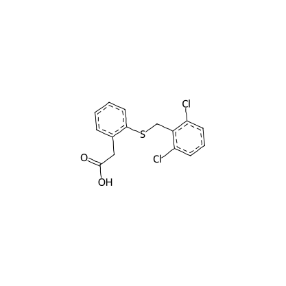 O=C(O)Cc1ccccc1SCc1c(Cl)cccc1Cl